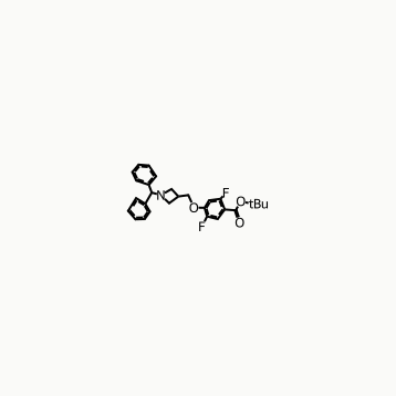 CC(C)(C)OC(=O)c1cc(F)c(OCC2CN(C(c3ccccc3)c3ccccc3)C2)cc1F